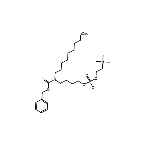 CCCCCCCCCCCCCCCCCCN(CCCCOP(=O)([O-])OCC[N+](C)(C)C)C(=O)OCc1ccccc1